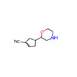 N#CC1=CCC(C2CNCCO2)C1